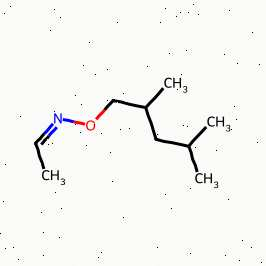 C/C=N\OCC(C)CC(C)C